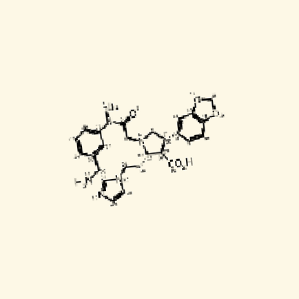 CCCCN(C(=O)CN1C[C@H](c2ccc3c(c2)OCO3)[C@@H](C(=O)O)[C@@H]1CCn1ccnc1)c1cccc(CN)c1